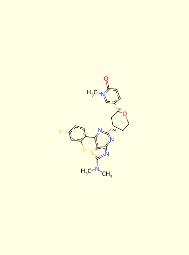 CN(C)c1nc2nc([C@H]3CCO[C@@H](c4ccc(=O)n(C)c4)C3)nc(-c3ccc(F)cc3F)c2s1